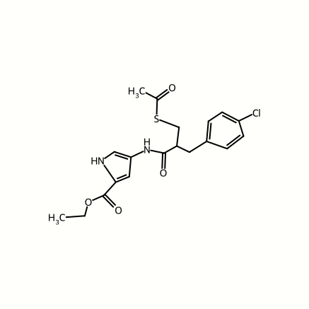 CCOC(=O)c1cc(NC(=O)C(CSC(C)=O)Cc2ccc(Cl)cc2)c[nH]1